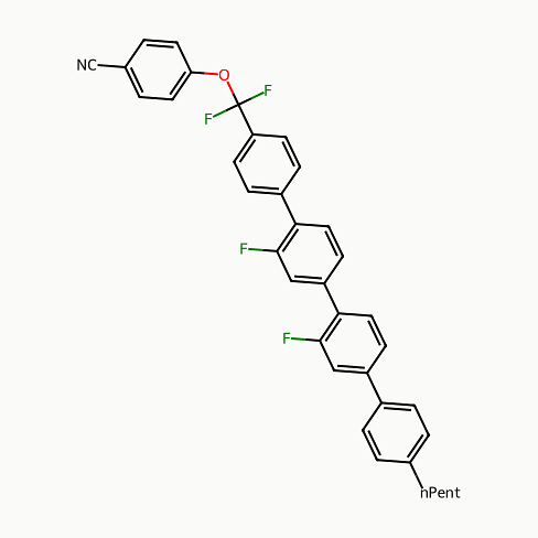 CCCCCc1ccc(-c2ccc(-c3ccc(-c4ccc(C(F)(F)Oc5ccc(C#N)cc5)cc4)c(F)c3)c(F)c2)cc1